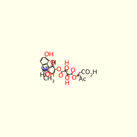 CC(=O)[C@@H](CC(=O)O)OC(=O)[C@H](O)[C@@H](O)C(=O)OC1=CC[C@@]2(O)[C@H]3Cc4ccc(O)c5c4[C@@]2(CCN3C)[C@H]1O5